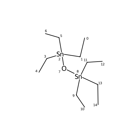 C[CH2][Sn]([CH2]C)([CH2]C)[O][Sn]([CH2]C)([CH2]C)[CH2]C